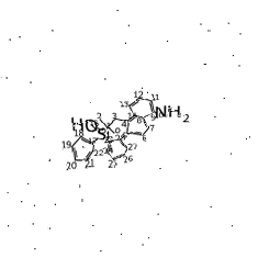 CC(C)(Cc1cccc2c(N)cccc12)[Si](O)(c1ccccc1)c1ccccc1